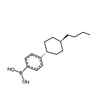 CCCC[C@H]1CC[C@H](c2ccc(B(O)O)cc2)CC1